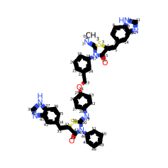 C/N=C1\S/C(=C\c2ccc3[nH]cnc3c2)C(=O)N1c1cccc(COc2ccc(/N=C3\S/C(=C\c4ccc5[nH]cnc5c4)C(=O)N3c3ccccc3)cc2)c1